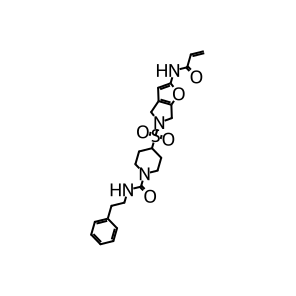 C=CC(=O)Nc1cc2c(o1)CN(S(=O)(=O)C1CCN(C(=O)NCCc3ccccc3)CC1)C2